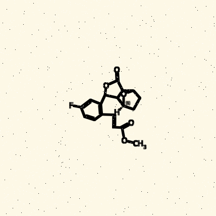 COC(=O)C=Cc1ccc(F)cc1C1OC(=O)C2C3CC[C@H](O3)C12